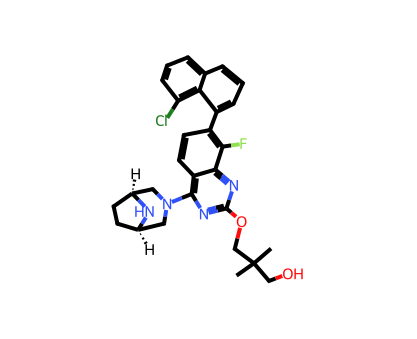 CC(C)(CO)COc1nc(N2C[C@H]3CC[C@@H](C2)N3)c2ccc(-c3cccc4cccc(Cl)c34)c(F)c2n1